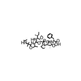 CC[C@H](C)[C@@H]([C@@H](CC(=O)N1CCC[C@H]1[C@H](OC)[C@@H](C)C(=O)N[C@@H](Cc1ccccc1)C(=O)O)OC)N(C)C(=O)[C@@H](NC(=O)C(C)(C)NC(C)C)C(C)C